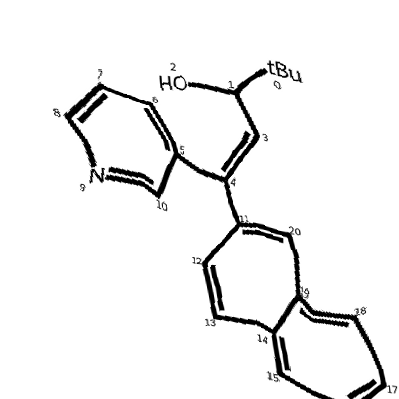 CC(C)(C)C(O)C=C(c1cccnc1)c1ccc2ccccc2c1